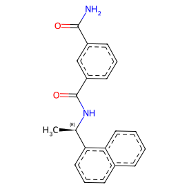 C[C@@H](NC(=O)c1cccc(C(N)=O)c1)c1cccc2ccccc12